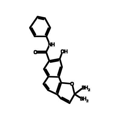 BC1(B)C=Cc2ccc3cc(C(=O)Nc4ccccc4)c(O)cc3c2O1